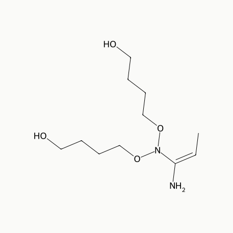 CC=C(N)N(OCCCCO)OCCCCO